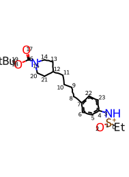 CC[S+]([O-])Nc1ccc(CCCCC2CCN(C(=O)OC(C)(C)C)CC2)cc1